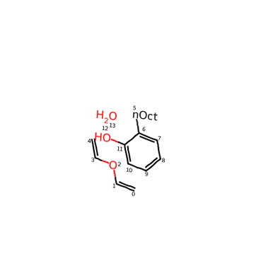 C=COC=C.CCCCCCCCc1ccccc1O.O